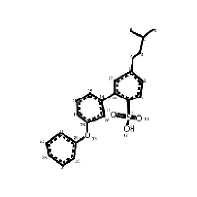 CC(C)CCc1ccc(S(=O)(=O)O)c(-c2cccc(Oc3ccccc3)c2)c1